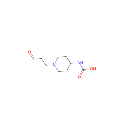 O=CCCN1CCC(NC(=O)O)CC1